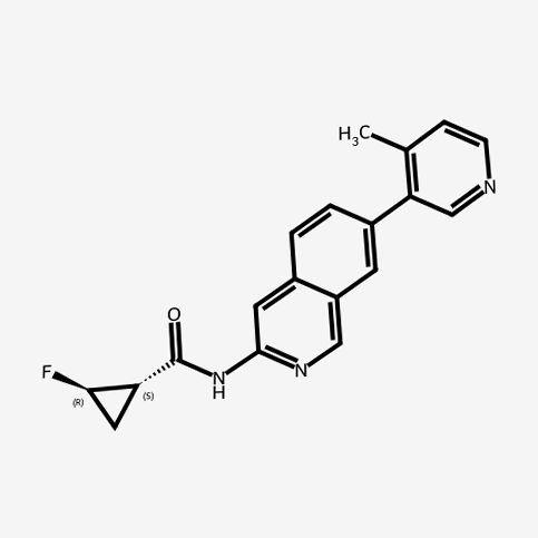 Cc1ccncc1-c1ccc2cc(NC(=O)[C@@H]3C[C@H]3F)ncc2c1